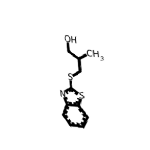 CC(CO)CSc1nc2ccccc2s1